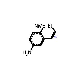 CC/C=C\c1cc(N)ccc1NC